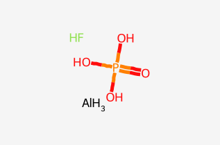 F.O=P(O)(O)O.[AlH3]